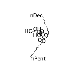 CCCCC/C=C\CCCCCCCC(=O)O[C@H](CO/C=C\CCCCCCCCCCCCCCCCCC)COP(=O)(O)OC[C@@H](O)CO